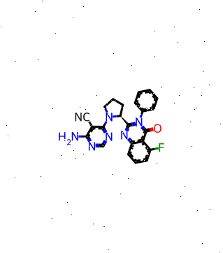 N#Cc1c(N)ncnc1N1CCC[C@H]1c1nc2cccc(F)c2c(=O)n1-c1ccccc1